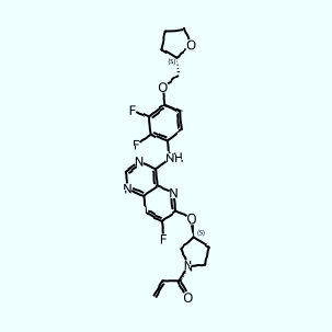 C=CC(=O)N1CC[C@H](Oc2nc3c(Nc4ccc(OC[C@@H]5CCCO5)c(F)c4F)ncnc3cc2F)C1